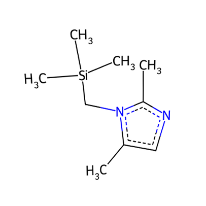 Cc1cnc(C)n1C[Si](C)(C)C